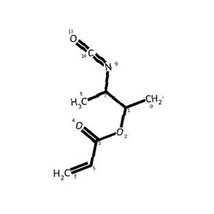 [CH2]C(OC(=O)C=C)C(C)N=C=O